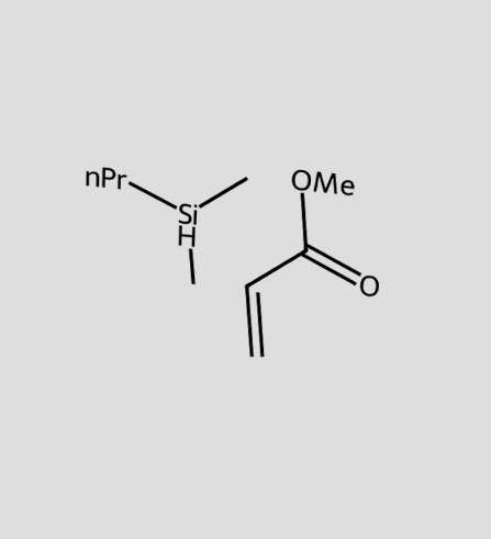 C=CC(=O)OC.CCC[SiH](C)C